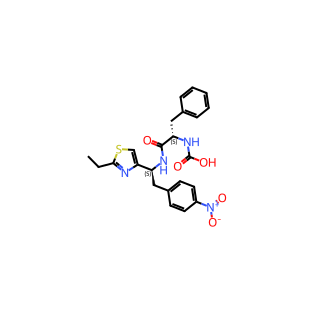 CCc1nc([C@H](Cc2ccc([N+](=O)[O-])cc2)NC(=O)[C@H](Cc2ccccc2)NC(=O)O)cs1